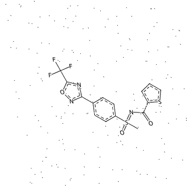 CS(=O)(=NC(=O)c1cccs1)c1ccc(-c2noc(C(F)(F)F)n2)cc1